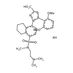 COc1cccc(OC)c1-c1cc(C(=O)O)nn1-c1ccc(S(=O)(=O)N(C)CCN(C)C)c2c1CCCC2.[KH]